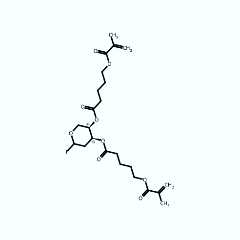 C=C(C)C(=O)OCCCCC(=O)O[C@H]1CC(I)OC[C@H]1OC(=O)CCCCOC(=O)C(=C)C